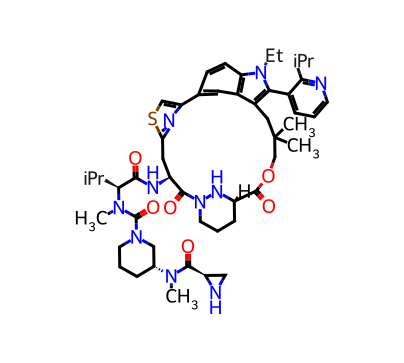 CCn1c(-c2cccnc2C(C)C)c2c3cc(ccc31)-c1csc(n1)C[C@H](NC(=O)[C@H](C(C)C)N(C)C(=O)N1CCC[C@@H](N(C)C(=O)[C@H]3CN3)C1)C(=O)N1CCC[C@H](N1)C(=O)OCC(C)(C)C2